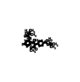 COC(=O)C(C1CCN(C(=O)OC(C)(C)C)CC1)C(O)c1ccc(F)cc1NC(=O)C(C)(C)C